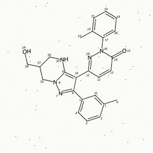 Cc1cccc(-c2nn3c(c2-c2ccc(=O)n(-c4ccccc4C)n2)NCC(CO)C3)c1